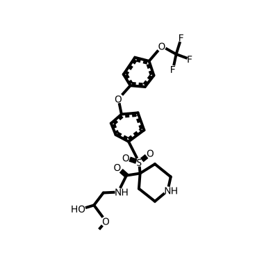 COC(O)CNC(=O)C1(S(=O)(=O)c2ccc(Oc3ccc(OC(F)(F)F)cc3)cc2)CCNCC1